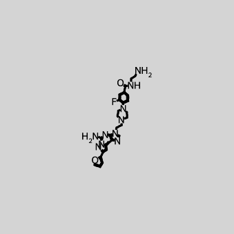 NCCNC(=O)c1ccc(N2CCN(CCn3cnc4c3nc(N)n3nc(-c5ccco5)cc43)CC2)c(F)c1